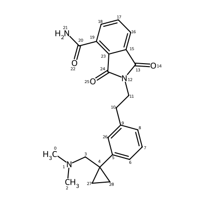 CN(C)CC1(c2cccc(CCN3C(=O)c4cccc(C(N)=O)c4C3=O)c2)CC1